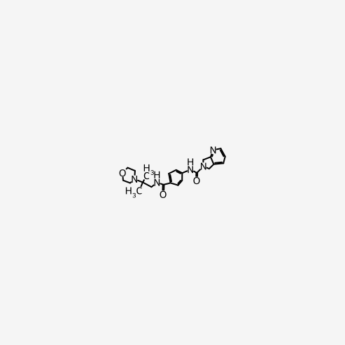 CC(C)(CNC(=O)c1ccc(NC(=O)N2Cc3cccnc3C2)cc1)N1CCOCC1